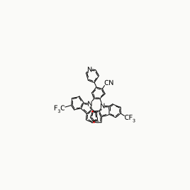 N#Cc1cc(-n2c3ccccc3c3cc(C(F)(F)F)ccc32)c(-n2c3ccccc3c3cc(C(F)(F)F)ccc32)cc1-c1ccncc1